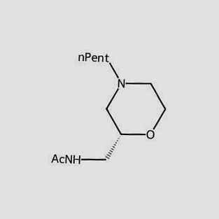 CCCCCN1CCO[C@H](CNC(C)=O)C1